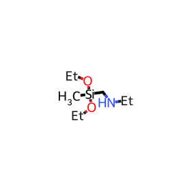 CCNC[Si](C)(OCC)OCC